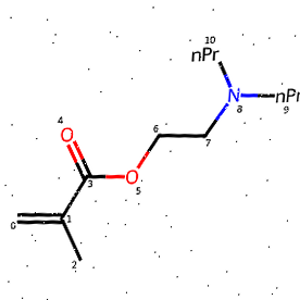 C=C(C)C(=O)OCCN(CCC)CCC